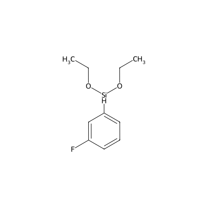 CCO[SiH](OCC)c1cccc(F)c1